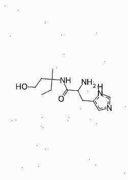 CCC(C)(CCO)NC(=O)C(N)Cc1cnc[nH]1